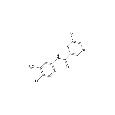 CC(=O)C1=CNC=C(C(=O)Nc2cc(C(F)(F)F)c(Cl)cn2)S1